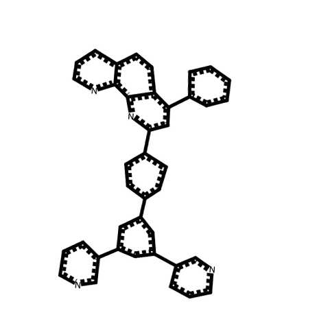 c1ccc(-c2cc(-c3ccc(-c4cc(-c5cccnc5)cc(-c5cccnc5)c4)cc3)nc3c2ccc2cccnc23)cc1